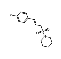 O=S(=O)(CC=Cc1ccc(Br)cc1)N1CCCCC1